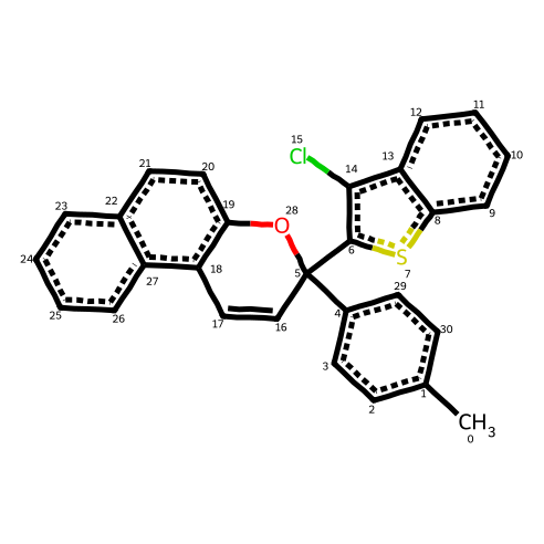 Cc1ccc(C2(c3sc4ccccc4c3Cl)C=Cc3c(ccc4ccccc34)O2)cc1